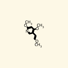 CO/C=C/c1cnc(OC)cc1OC